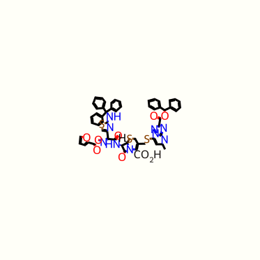 Cc1cc(SCC2=C(C(=O)O)N3C(=O)[C@@H](NC(=O)C(=NOC(=O)c4ccco4)c4csc(NC(c5ccccc5)(c5ccccc5)c5ccccc5)n4)[C@H]3SC2)n2nc(C(=O)OC(c3ccccc3)c3ccccc3)nc2n1